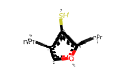 CCCc1coc(CCC)c1S